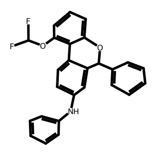 FC(F)Oc1cccc2c1-c1ccc(Nc3ccccc3)cc1C(c1ccccc1)O2